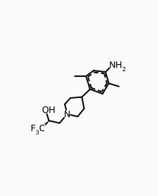 Cc1cc(C2CCN(C[C@H](O)C(F)(F)F)CC2)c(C)cc1N